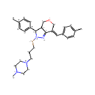 Cc1ccc(C=C2COCC3C2=NN(SCCCN2CCN(C)CC2)C3c2ccc(C)cc2)cc1